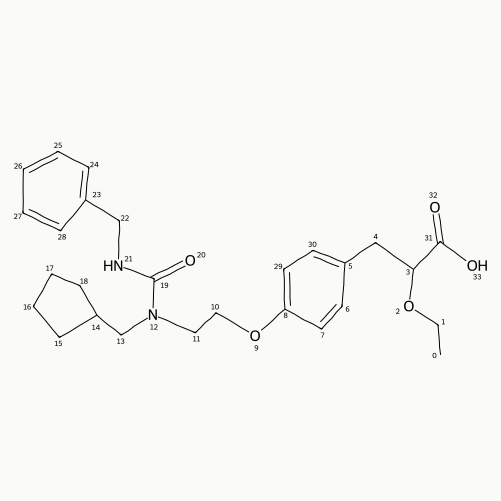 CCOC(Cc1ccc(OCCN(CC2CCCC2)C(=O)NCc2ccccc2)cc1)C(=O)O